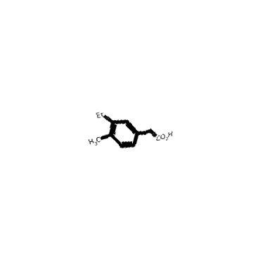 CCc1cc(CC(=O)O)ccc1C